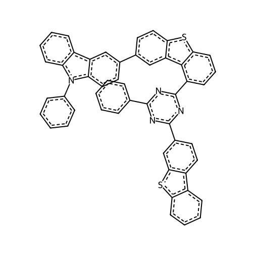 c1ccc(-c2nc(-c3ccc4c(c3)sc3ccccc34)nc(-c3cccc4sc5ccc(-c6ccc7c(c6)c6ccccc6n7-c6ccccc6)cc5c34)n2)cc1